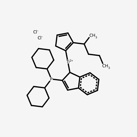 CCCC(C)C1=[C]([Ti+2][CH]2C(P(C3CCCCC3)C3CCCCC3)=Cc3ccccc32)CC=C1.[Cl-].[Cl-]